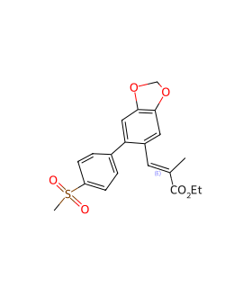 CCOC(=O)/C(C)=C/c1cc2c(cc1-c1ccc(S(C)(=O)=O)cc1)OCO2